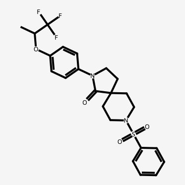 CC(Oc1ccc(N2CCC3(CCN(S(=O)(=O)c4ccccc4)CC3)C2=O)cc1)C(F)(F)F